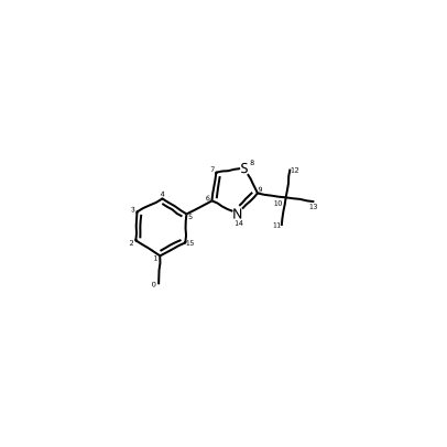 Cc1cccc(-c2csc(C(C)(C)C)n2)c1